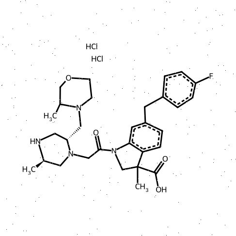 CC1COCCN1C[C@H]1CN[C@H](C)CN1CC(=O)N1CC(C)(C(=O)O)c2ccc(Cc3ccc(F)cc3)cc21.Cl.Cl